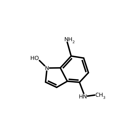 CNc1ccc(N)c2c1ccn2O